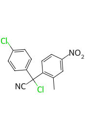 Cc1cc([N+](=O)[O-])ccc1C(Cl)(C#N)c1ccc(Cl)cc1